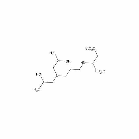 CCOC(=O)CC(NCCCN(CC(C)O)CC(C)O)C(=O)OCC